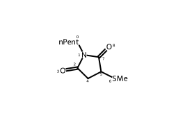 CCCCCN1C(=O)CC(SC)C1=O